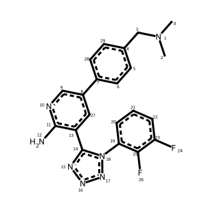 CN(C)Cc1ccc(-c2cnc(N)c(-c3nnnn3-c3cccc(F)c3F)c2)cc1